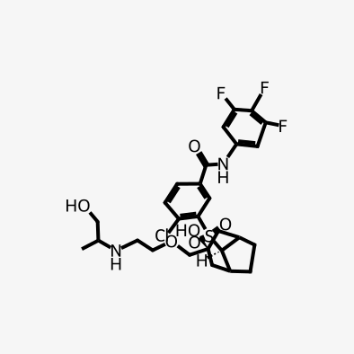 CC(CO)NCCOC[C@]1(O)CC2CCC(C1)[C@H]2S(=O)(=O)c1cc(C(=O)Nc2cc(F)c(F)c(F)c2)ccc1Cl